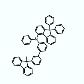 CC1(c2cccc(-c3cccc(N(c4ccccc4)c4cccc5c4-c4ccccc4C5(c4ccccc4)c4ccccc4)c3)c2)c2ccccc2-c2ccccc21